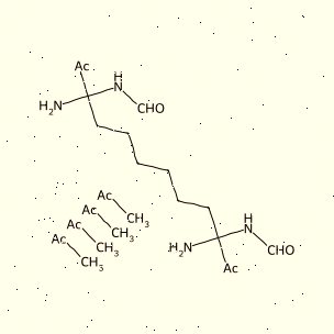 CC(=O)C(N)(CCCCCCC(N)(NC=O)C(C)=O)NC=O.CC(C)=O.CC(C)=O.CC(C)=O.CC(C)=O